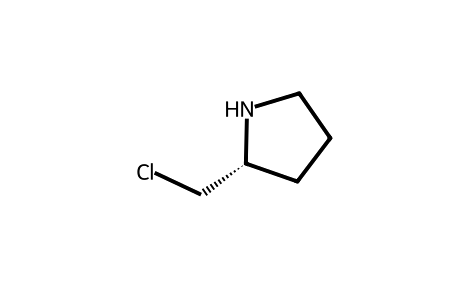 ClC[C@H]1CCCN1